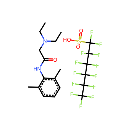 CCN(CC)CC(=O)Nc1c(C)cccc1C.O=S(=O)(O)C(F)(F)C(F)(F)C(F)(F)C(F)(F)C(F)(F)C(F)(F)F